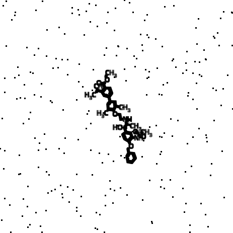 CCOC(=O)c1ccc(-c2cc(C)c(OCCN[C@@H](C)[C@@H](O)c3ccc(OCc4ccccc4)c(NS(C)(=O)=O)c3)c(C)c2)cc1C(C)C